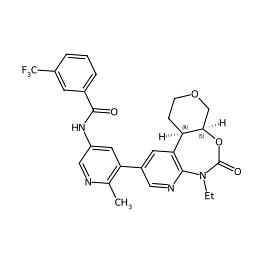 CCN1C(=O)O[C@@H]2COCC[C@@H]2c2cc(-c3cc(NC(=O)c4cccc(C(F)(F)F)c4)cnc3C)cnc21